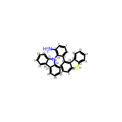 Nc1cccc(-c2cccc3sc4ccccc4c23)c1-n1c2ccccc2c2ccccc21